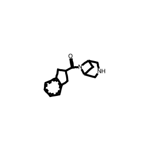 O=C(C1Cc2ccccc2C1)N1C2CNCC1C2